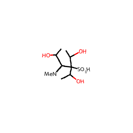 CNC(C(C)O)C(C(C)O)(C(C)O)S(=O)(=O)O